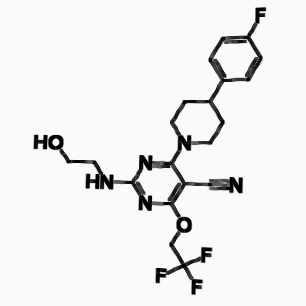 N#Cc1c(OCC(F)(F)F)nc(NCCO)nc1N1CCC(c2ccc(F)cc2)CC1